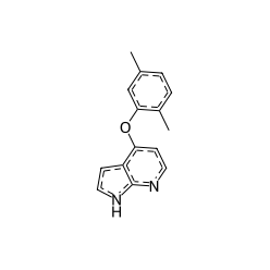 Cc1ccc(C)c(Oc2ccnc3[nH]ccc23)c1